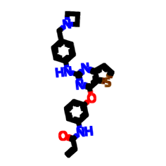 C=CC(=O)Nc1cccc(Oc2nc(Nc3ccc(CN4CCC4)cc3)nc3ccsc23)c1